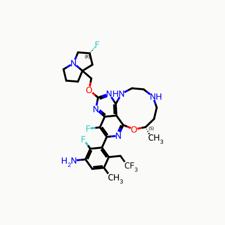 Cc1cc(N)c(F)c(-c2nc3c4c(nc(OCC56CCCN5C[C@H](F)C6)nc4c2F)NCCNCC[C@H](C)O3)c1CC(F)(F)F